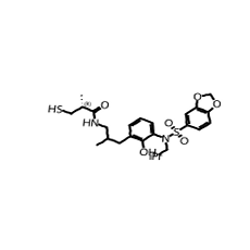 CC(C)CN(c1cccc(CC(C)CNC(=O)[C@@H](C)CS)c1O)S(=O)(=O)c1ccc2c(c1)OCO2